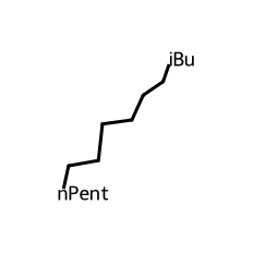 C[CH]C(C)CCCCCCCCCCC